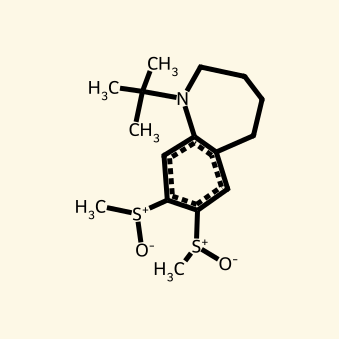 C[S+]([O-])c1cc2c(cc1[S+](C)[O-])N(C(C)(C)C)CCCC2